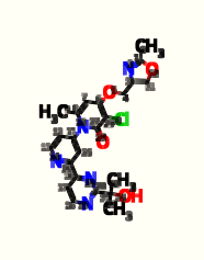 Cc1nc(COc2cc(C)n(-c3ccnc(-c4ccnc(C(C)(C)O)n4)c3)c(=O)c2Cl)co1